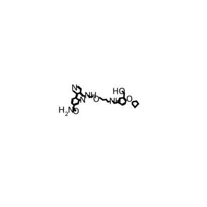 NC(=O)c1ccc2c(c1)nc(NCCOCCCCNCc1ccc(OC3CCCC3)c(CO)c1)c1ccncc12